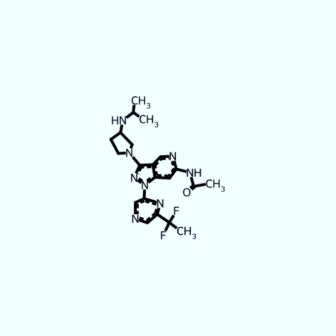 CC(=O)Nc1cc2c(cn1)c(N1CCC(NC(C)C)C1)nn2-c1cncc(C(C)(F)F)n1